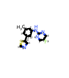 Cc1cc(Nc2ncc(F)cn2)cc(-c2cncs2)c1